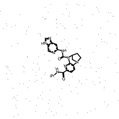 CC(C)NC(=O)c1ccc2c(n1)N(C(=O)Nc1cc3nc[nH]c3cn1)C1CCN2C1